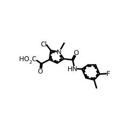 Cc1cc(NC(=O)c2cc(C(=O)C(=O)O)c(Cl)n2C)ccc1F